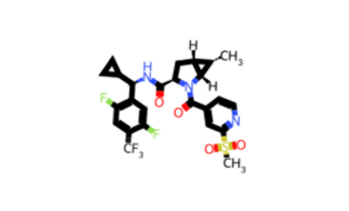 C[C@H]1[C@H]2C[C@H](C(=O)N[C@@H](c3cc(F)c(C(F)(F)F)cc3F)C3CC3)N(C(=O)c3ccnc(S(C)(=O)=O)c3)[C@@H]12